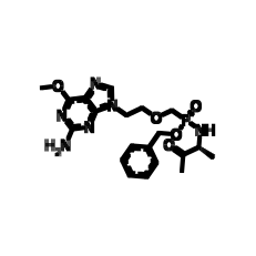 COc1nc(N)nc2c1ncn2CCOCP(=O)(N[C@@H](C)C(C)=O)OCc1ccccc1